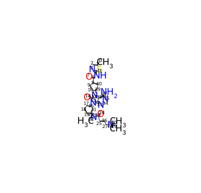 Cc1cnc(NC(=O)c2ccc(-n3c(=O)n(-c4cccc(N(C)C(=O)C=CCN(C)C)c4)c4ncnc(N)c43)cc2)s1